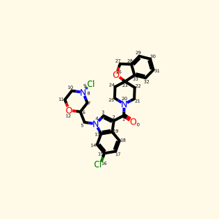 O=C(c1cn(CC2CN(Cl)CCO2)c2cc(Cl)ccc12)N1CCC2(CC1)OCc1ccccc12